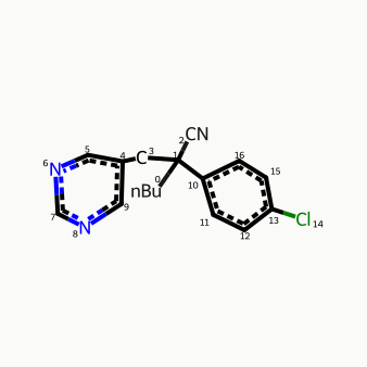 CCCCC(C#N)(Cc1cncnc1)c1ccc(Cl)cc1